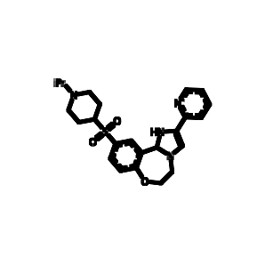 CC(C)N1CCC(S(=O)(=O)c2ccc3c(c2)C2NC(c4ccccn4)=CN2CCO3)CC1